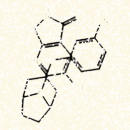 Cc1cc2c(nc1N1C3CCC1CC(Oc1cccc(C#N)c1)C3)CNC2=O